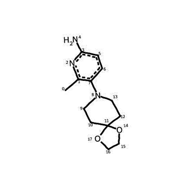 Cc1nc(N)ccc1N1CCC2(CC1)OCCO2